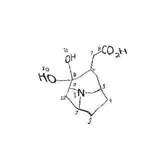 CN1C2CCC1C(CC(=O)O)C(O)(O)C2